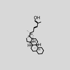 CC(C=CC[C@@H](C)[C@H]1CC[C@H]2[C@@H]3CCC4CCCC[C@]4(C)[C@H]3CC[C@]12C)=CO